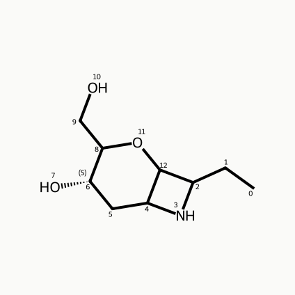 CCC1NC2C[C@H](O)C(CO)OC12